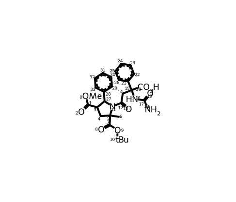 COC(=O)C1CC(C)(C(=O)OC(C)(C)C)N(C(=O)CC(NC(N)=O)(C(=O)O)c2ccccc2)C1c1ccccc1